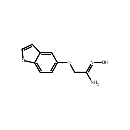 NC(COc1ccc2occc2c1)=NO